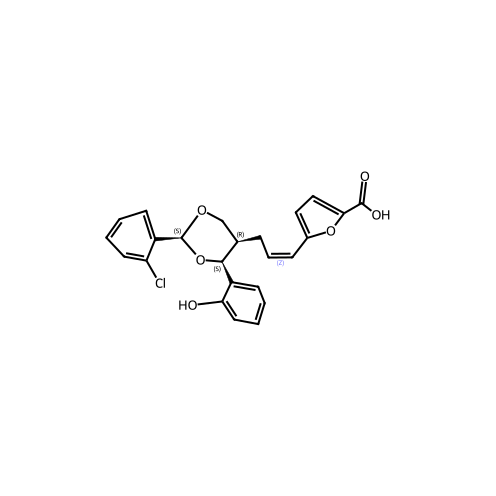 O=C(O)c1ccc(/C=C\C[C@@H]2CO[C@H](c3ccccc3Cl)O[C@@H]2c2ccccc2O)o1